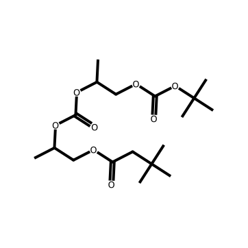 CC(COC(=O)CC(C)(C)C)OC(=O)OC(C)COC(=O)OC(C)(C)C